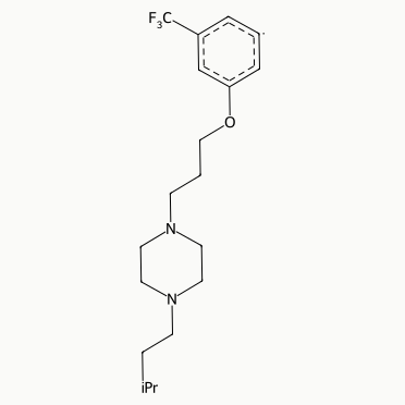 CC(C)CCN1CCN(CCCOc2c[c]cc(C(F)(F)F)c2)CC1